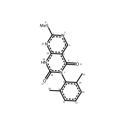 CSc1ncc2c(=O)n(-c3c(C)cccc3C)c(=O)[nH]c2n1